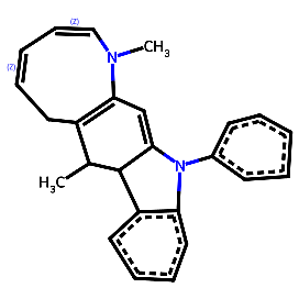 CC1C2=C(C=C3C1c1ccccc1N3c1ccccc1)N(C)/C=C\C=C/C2